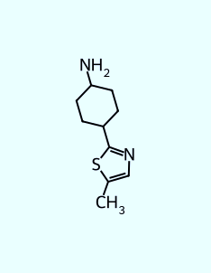 Cc1cnc(C2CCC(N)CC2)s1